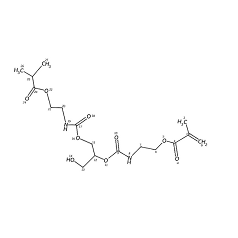 C=C(C)C(=O)OCCNC(=O)OC(CO)COC(=O)NCCOC(=O)C(C)C